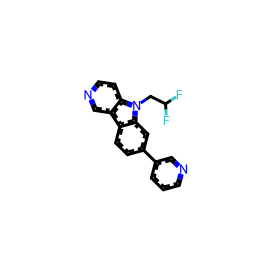 FC(F)Cn1c2ccncc2c2ccc(-c3cccnc3)cc21